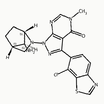 Cn1cnc2c(c(-c3ccc4ncsc4c3Cl)nn2N2C[C@@H]3CC[C@H]2[C@H]3N)c1=O